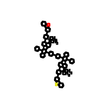 CC1(C)c2cc(-c3ccc4oc5ccccc5c4c3)ccc2-c2ccc3c4c(ccc1c24)-c1c-3c(-c2ccccc2)c2ccccc2c1-c1ccc(-c2ccc(-c3c4c(c(-c5ccccc5)c5ccccc35)-c3ccc5c6c(ccc-4c36)-c3ccc(-c4ccc6sc7ccccc7c6c4)cc3C5(C)C)cc2)cc1